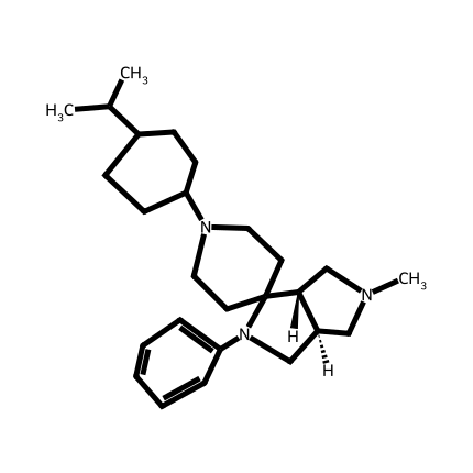 CC(C)C1CCC(N2CCC3(CC2)[C@@H]2CN(C)C[C@H]2CN3c2ccccc2)CC1